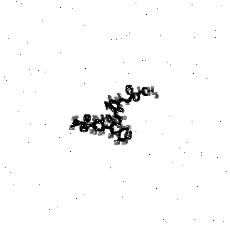 CCOC(=O)CCc1cnc(C2=CCC(C(CC3CCOCC3)c3ccc(S(=O)(=O)C4CC4)cc3)N2)s1